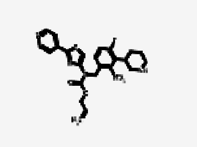 C=CCOC(=O)N(Cc1ccc(F)c(C2CCCNC2)c1[N+](=O)[O-])c1csc(-c2ccncc2)n1